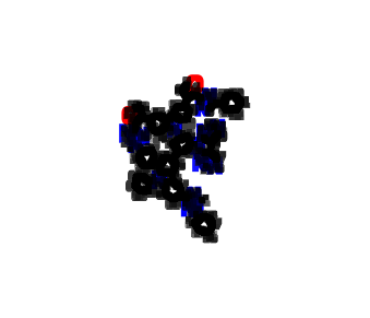 C1=NC(c2occc2-c2ccc3c(c2)c2cc(-c4ccoc4-c4ncn(-c5ccccc5)n4)ccc2n3-c2cc(-c3ccc4c(c3)c3cc(-c5ncn(-c6ccccc6)n5)ccc3n4-c3ccccc3)cc(-n3c4ncncc4c4cncnc43)c2)=NC1c1ccccc1